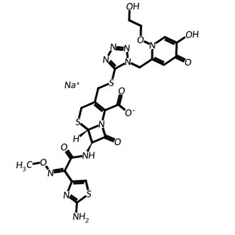 CO/N=C(\C(=O)N[C@@H]1C(=O)N2C(C(=O)[O-])=C(CSc3nnnn3Cc3cc(=O)c(O)cn3OCCO)CS[C@@H]12)c1csc(N)n1.[Na+]